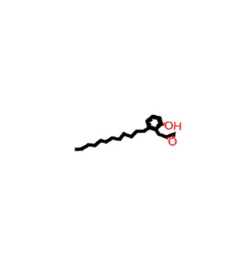 CCCCCCCCCCCCc1cccc(O)c1CC1CO1